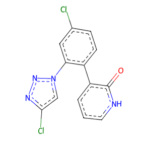 O=c1[nH]cccc1-c1ccc(Cl)cc1-n1cc(Cl)nn1